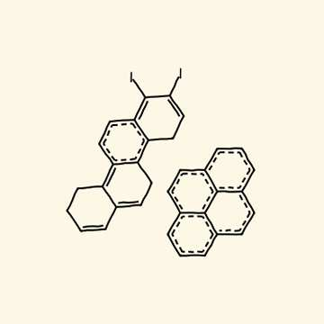 IC1=CCc2c3c(ccc2=C1I)=C1CCC=CC1=CC3.c1cc2ccc3cccc4ccc(c1)c2c34